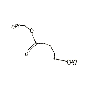 CCCOC(=O)CCC=O